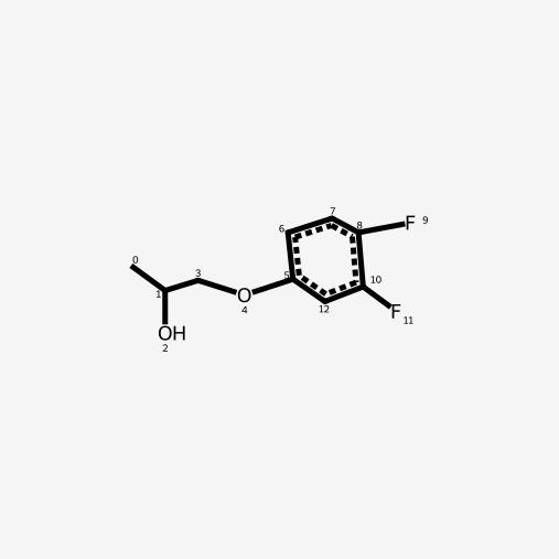 CC(O)COc1ccc(F)c(F)c1